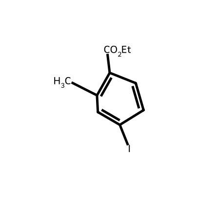 CCOC(=O)c1ccc(I)cc1C